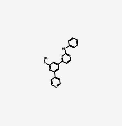 CC(C)(C)Oc1cc(-c2ccnc(Nc3ccccc3)n2)cc(-c2ccncc2)n1